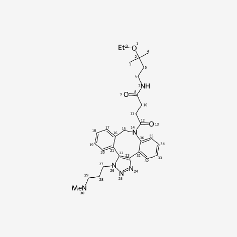 CCOC(C)(C)CCNC(=O)CCC(=O)N1Cc2ccccc2-c2c(nnn2CCCNC)-c2ccccc21